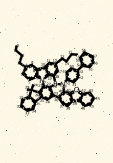 CCCCc1ccc2c(c1)c1cc(CCCC)cc3c1n2-c1c2c(cc4c1C(C)(C)c1ccccc1-4)-c1ccc4c(oc5ccccc54)c1N(c1ccc(-c4ccccc4)cc1)B23